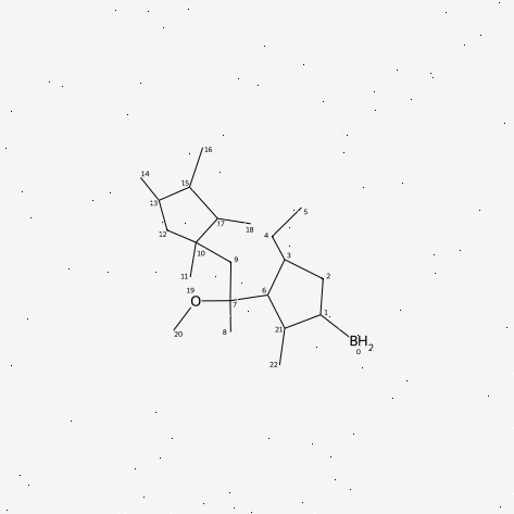 BC1CC(CC)C(C(C)(CC2(C)CC(C)C(C)C2C)OC)C1C